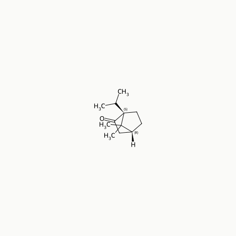 CC(C)[C@]12CC[C@H](CC1=O)C2(C)C